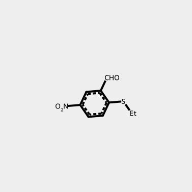 CCSc1ccc([N+](=O)[O-])cc1C=O